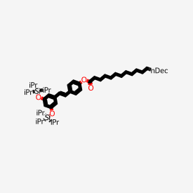 CCCCCCCCCCCCCCCCCCCCCC(=O)Oc1ccc(/C=C/c2cc(O[Si](C(C)C)(C(C)C)C(C)C)cc(O[Si](C(C)C)(C(C)C)C(C)C)c2)cc1